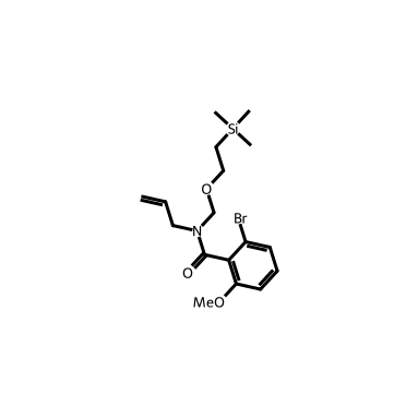 C=CCN(COCC[Si](C)(C)C)C(=O)c1c(Br)cccc1OC